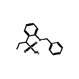 CCC(c1ccccc1OCc1ccccc1)S(N)(=O)=O